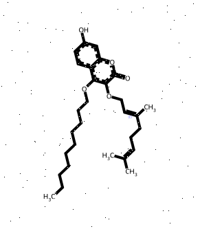 CCCCCCCCCCOc1c(OC/C=C(\C)CCC=C(C)C)c(=O)oc2cc(O)ccc12